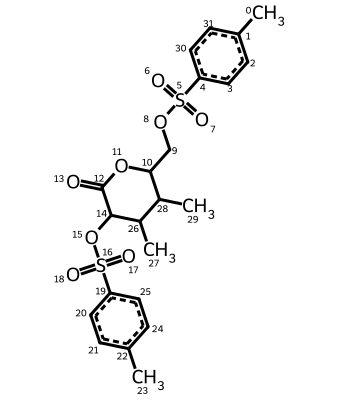 Cc1ccc(S(=O)(=O)OCC2OC(=O)C(OS(=O)(=O)c3ccc(C)cc3)C(C)C2C)cc1